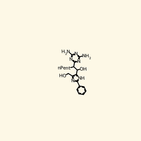 CCCCCC(c1nc(N)nc(N)n1)C(O)c1[nH]c(-c2ccccc2)nc1CO